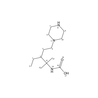 CCC(CCN1CCNCC1)C(C)(C)NC(=O)O